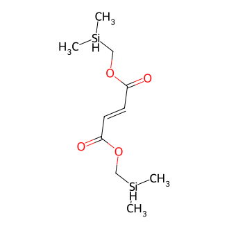 C[SiH](C)COC(=O)/C=C/C(=O)OC[SiH](C)C